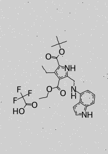 CCOC(=O)c1c(CNc2cccc3[nH]ccc23)[nH]c(C(=O)OC(C)(C)C)c1CC.O=C(O)C(F)(F)F